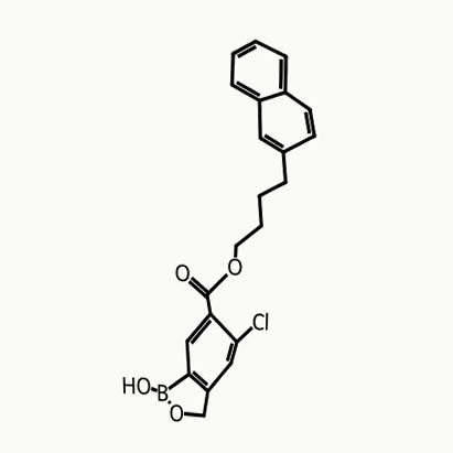 O=C(OCCCCc1ccc2ccccc2c1)c1cc2c(cc1Cl)COB2O